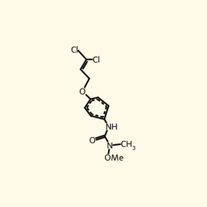 CON(C)C(=O)Nc1ccc(OCC=C(Cl)Cl)cc1